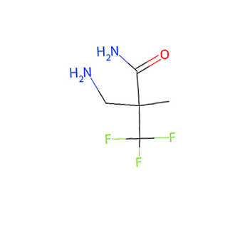 CC(CN)(C(N)=O)C(F)(F)F